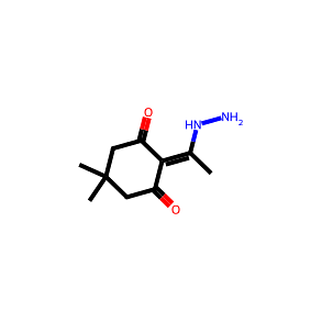 CC(NN)=C1C(=O)CC(C)(C)CC1=O